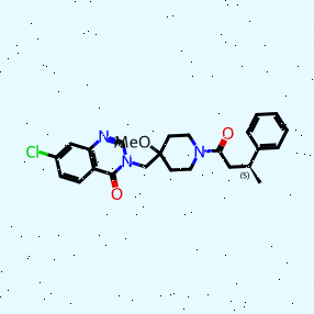 COC1(Cn2cnc3cc(Cl)ccc3c2=O)CCN(C(=O)C[C@H](C)c2ccccc2)CC1